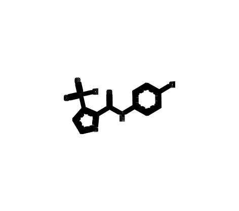 O=C(Nc1ccc(Cl)cc1)c1sccc1S(=O)(=O)Cl